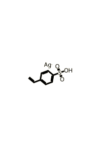 C=Cc1ccc(S(=O)(=O)O)cc1.[Ag]